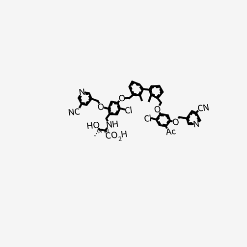 CC(=O)c1cc(Cl)c(OCc2cccc(-c3cccc(COc4cc(OCc5cncc(C#N)c5)c(CN[C@@H](C(=O)O)[C@H](C)O)cc4Cl)c3C)c2C)cc1OCc1cncc(C#N)c1